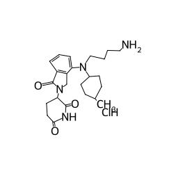 CC1CCC(N(CCCCN)c2cccc3c2CN(C2CCC(=O)NC2=O)C3=O)CC1.Cl